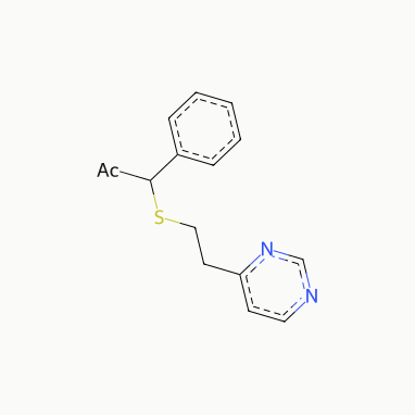 CC(=O)C(SCCc1ccncn1)c1ccccc1